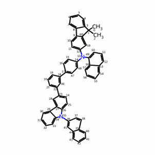 CC1(C)c2ccccc2-c2ccc(N(c3ccc(-c4cccc(-c5ccc6c(c5)c5ccccc5n6-c5ccc6ccccc6c5)c4)cc3)c3cccc4ccccc34)cc21